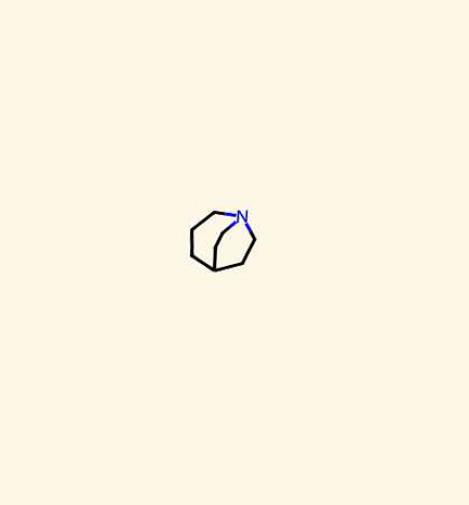 C1CC2CCN(C1)CC2